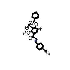 N#Cc1ccc(/C=C/C(=O)c2cc(F)c(OCc3ccccc3)c([N+](=O)[O-])c2O)cc1